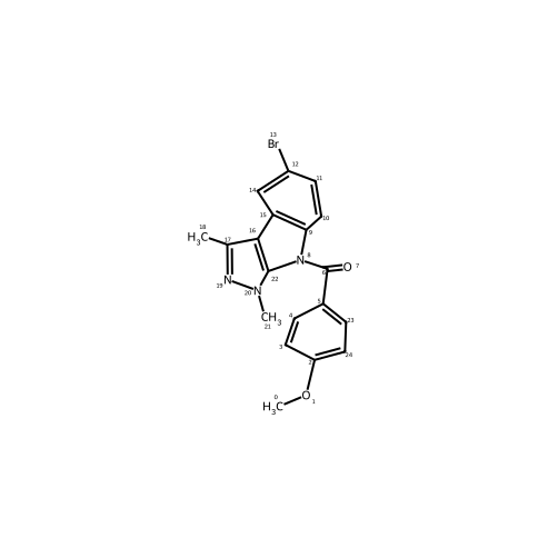 COc1ccc(C(=O)n2c3ccc(Br)cc3c3c(C)nn(C)c32)cc1